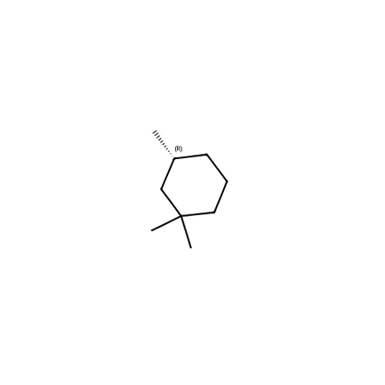 C[C@@H]1CCCC(C)(C)C1